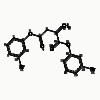 C=C(CC(=O)Oc1cccc(Br)c1)C(=O)Oc1cccc(Br)c1